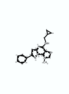 Cn1cnc2c(NCC3CC3)nc3cc(-c4ccccc4)nn3c21